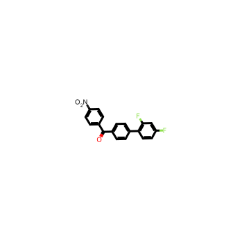 O=C(c1ccc(-c2ccc(F)cc2F)cc1)c1ccc([N+](=O)[O-])cc1